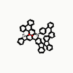 c1ccc(-c2ccccc2-c2ccc(N(c3ccc4c5ccccc5c5ccccc5c4c3)c3cc4c(cc3-c3ccc5sc6ccccc6c5c3)-c3ccccc3C43c4ccccc4-c4ccccc43)cc2)cc1